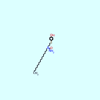 CCCCCCCCCCCCCCCCCCN(CCCSc1ccc(O)cc1)C(N)=O